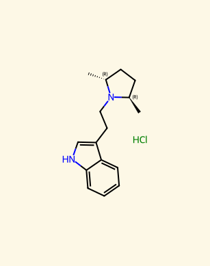 C[C@@H]1CC[C@@H](C)N1CCc1c[nH]c2ccccc12.Cl